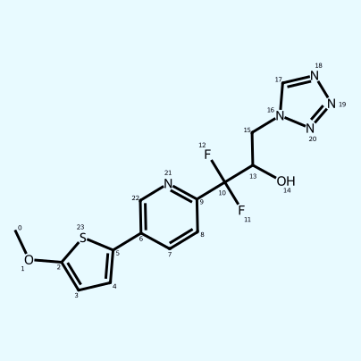 COc1ccc(-c2ccc(C(F)(F)C(O)Cn3cnnn3)nc2)s1